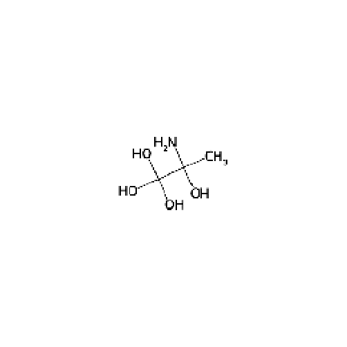 CC(N)(O)C(O)(O)O